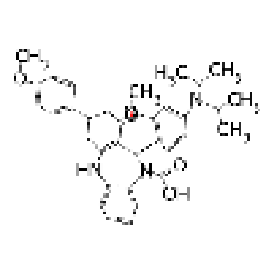 COc1ccc(C2CC(=O)C3=C(C2)Nc2ccccc2N(C(=O)O)C3c2ccc(N(C(C)C)C(C)C)cc2OC)cc1